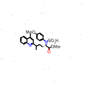 COC(=O)[C@H](CCC(C)c1cc(C)c2ccccc2n1)N(c1ccc(OC)cc1)S(=O)(=O)O